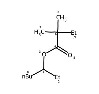 CCCCC(CC)OC(=O)C(C)(C)CC